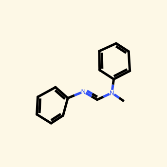 CN(C=Nc1ccccc1)c1ccccc1